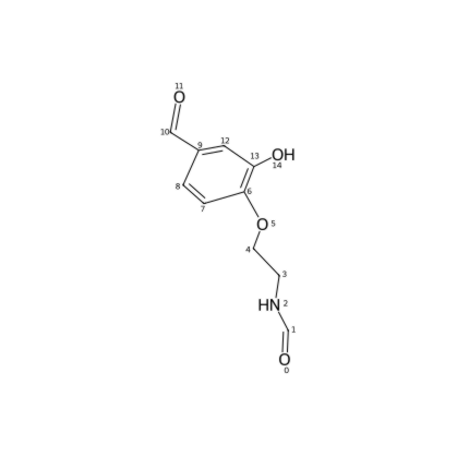 O=CNCCOc1ccc(C=O)cc1O